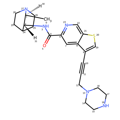 C[C@H]1[C@H](NC(=O)c2cc3c(C#CCN4CCNCC4)csc3cn2)C2CCN1CC2